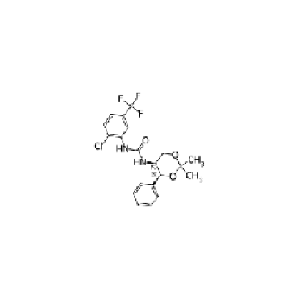 CC1(C)OC[C@H](NC(=O)Nc2cc(C(F)(F)F)ccc2Cl)[C@H](c2ccccc2)O1